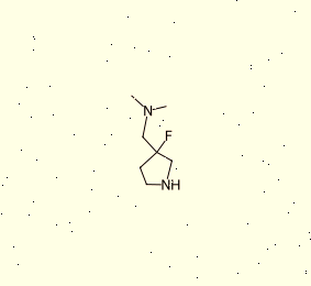 CN(C)CC1(F)CCNC1